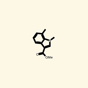 COC(=O)c1cn(C)c2c(C)cccc12